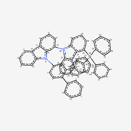 c1ccc(-c2ccc(-n3c4ccccc4c4cccc(-n5c6ccccc6c6c([Si](c7ccccc7)(c7ccccc7)c7ccccc7)cccc65)c43)cc2-c2ccccc2)cc1